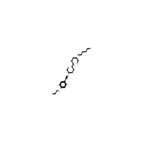 CCCCCC[C@H]1CC[C@H]([C@H]2CC[C@H](C#Cc3ccc(OCCC)cc3)CC2)CC1